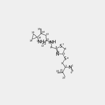 C=NC(CSC1CSC(CNC(=C)CC(=C)C2(N)CC2)=N1)C(=C)C